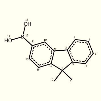 CC1(C)c2ccccc2-c2cc(B(O)O)ccc21